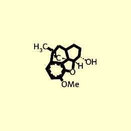 COc1ccc2c3c1O[C@@H]1[C@@H](O)CCC4C(C2)N(C)CC[C@]341